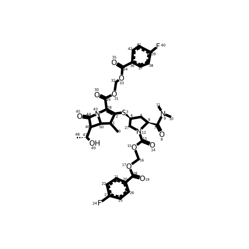 CC1C(S[C@H]2C[C@@H](C(=O)N(C)C)N(C(=O)OCOC(=O)c3ccc(F)cc3)C2)=C(C(=O)OCOC(=O)c2ccc(F)cc2)N2C(=O)C([C@@H](C)O)C12